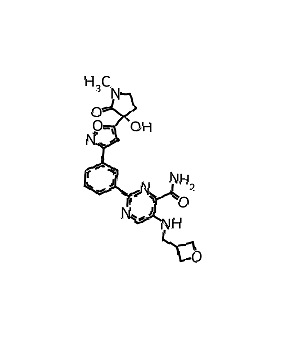 CN1CCC(O)(c2cc(-c3cccc(-c4ncc(NCC5COC5)c(C(N)=O)n4)c3)no2)C1=O